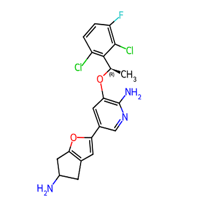 C[C@@H](Oc1cc(-c2cc3c(o2)CC(N)C3)cnc1N)c1c(Cl)ccc(F)c1Cl